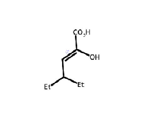 CCC(/C=C(\O)C(=O)O)CC